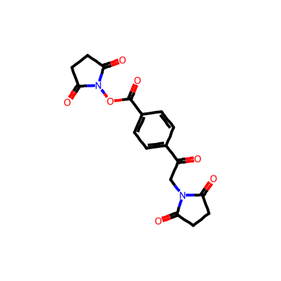 O=C(CN1C(=O)CCC1=O)c1ccc(C(=O)ON2C(=O)CCC2=O)cc1